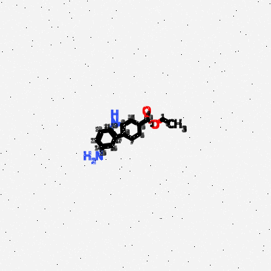 CCOC(=O)C1CCc2c([nH]c3ccc(N)cc23)C1